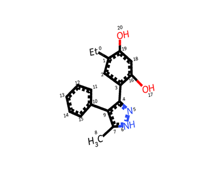 CCc1cc(-c2n[nH]c(C)c2-c2ccccc2)c(O)cc1O